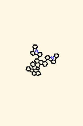 c1ccc2c(c1)-c1ccc3ccccc3c1C21c2ccccc2-c2c(-c3c4cccc(-c5cccc6c5c5cccc7c8ccccc8n6c75)c4cc4c(-c5cccc6c5c5cccc7c8ccccc8n6c75)cccc34)cccc21